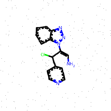 N/C=C(\C(Cl)c1ccncc1)n1nnc2ccccc21